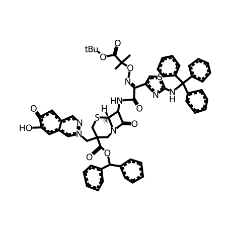 CC(C)(C)OC(=O)C(C)(C)ON=C(C(=O)NC1C(=O)N2CC(Cn3cc4cc(O)c(=O)cc-4cn3)(C(=O)OC(c3ccccc3)c3ccccc3)CS[C@H]12)c1csc(NC(c2ccccc2)(c2ccccc2)c2ccccc2)n1